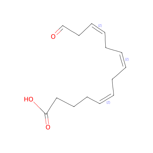 O=CC/C=C\C/C=C\C/C=C\CCCC(=O)O